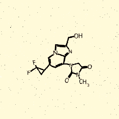 CN1C(=O)CN(c2cc(C3CC3(F)F)cn3cc(CO)nc23)C1=O